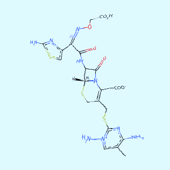 Cc1c[n+](N)c(SCC2=C(C(=O)[O-])N3C(=O)C(NC(=O)/C(=N\OCC(=O)O)c4csc(N)n4)[C@H]3SC2)nc1N